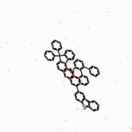 c1ccc(-c2ccccc2-c2c(-c3ccccc3)cccc2N(c2ccc(-c3ccc4sc5ccccc5c4c3)cc2)c2cccc3c2-c2ccccc2C3(c2ccccc2)c2ccccc2)cc1